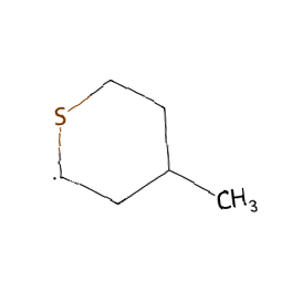 CC1C[CH]SCC1